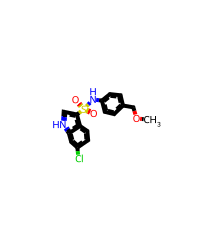 COCc1ccc(NS(=O)(=O)c2c[nH]c3cc(Cl)ccc23)cc1